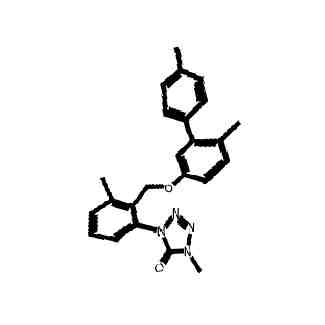 Cc1ccc(-c2cc(OCc3c(C)cccc3-n3nnn(C)c3=O)ccc2C)cc1